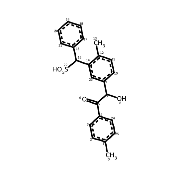 Cc1ccc(C(=O)C(O)c2ccc(C)c(C(c3ccccc3)S(=O)(=O)O)c2)cc1